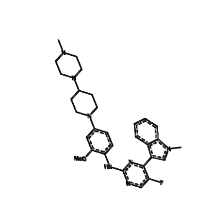 COc1cc(N2CCC(N3CCN(C)CC3)CC2)ccc1Nc1ncc(F)c(-c2cn(C)c3ccccc23)n1